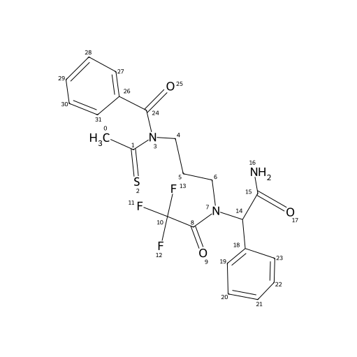 CC(=S)N(CCCN(C(=O)C(F)(F)F)C(C(N)=O)c1ccccc1)C(=O)c1ccccc1